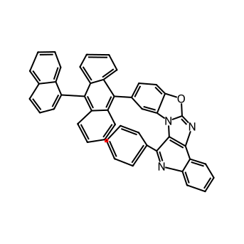 c1ccc(-c2nc3ccccc3c3nc4oc5ccc(-c6c7ccccc7c(-c7cccc8ccccc78)c7ccccc67)cc5n4c23)cc1